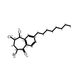 CCCCCCCCc1ccc2c(c1)C(Cl)C(Cl)CC(Br)C2=O